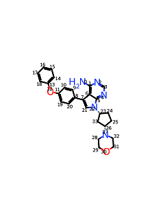 Nc1ncnc2c1c(-c1ccc(Oc3ccccc3)cc1)cn2[C@@H]1CC[C@H](N2CCOCC2)C1